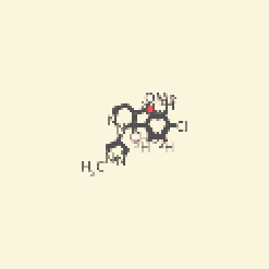 [2H]c1c([2H])c(C2(C=O)C(C(=O)OC)CC=NN2c2cnn(C)c2)c([2H])c([2H])c1Cl